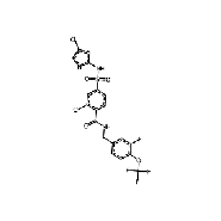 O=C(NCc1ccc(OC(F)(F)F)c(F)c1)c1ccc(S(=O)(=O)Nc2ncc(Cl)s2)cc1Cl